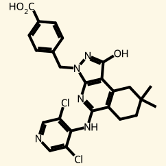 CC1(C)CCc2c(Nc3c(Cl)cncc3Cl)nc3c(c(O)nn3Cc3ccc(C(=O)O)cc3)c2C1